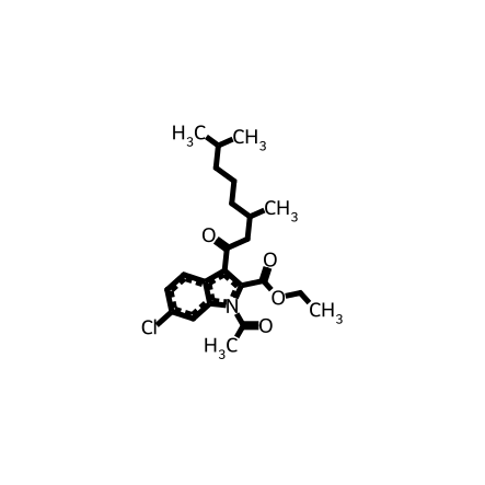 CCOC(=O)c1c(C(=O)CC(C)CCCC(C)C)c2ccc(Cl)cc2n1C(C)=O